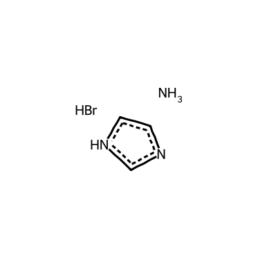 Br.N.c1c[nH]cn1